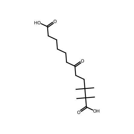 CC(C)(CCC(=O)CCCCCC(=O)O)C(C)(C)C(=O)O